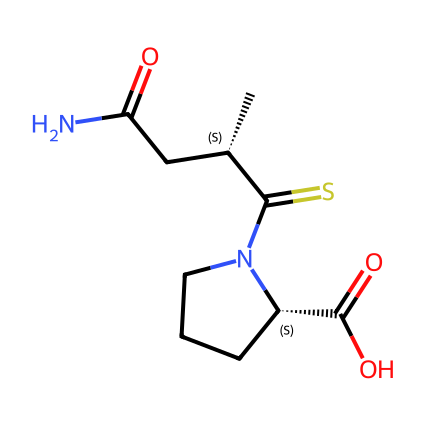 C[C@@H](CC(N)=O)C(=S)N1CCC[C@H]1C(=O)O